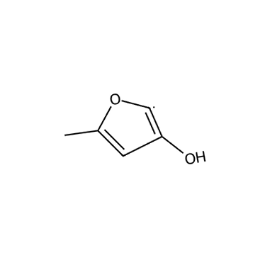 Cc1cc(O)[c]o1